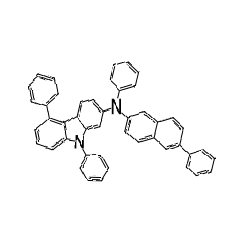 c1ccc(-c2ccc3cc(N(c4ccccc4)c4ccc5c6c(-c7ccccc7)cccc6n(-c6ccccc6)c5c4)ccc3c2)cc1